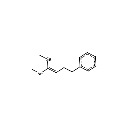 C[Se]C(=CCCc1ccccc1)[Se]C